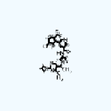 Cc1nc(N2CCC2)ncc1[C@H](C)n1cc(NC(=O)c2cncc(-c3c(C(F)F)ccc(Cl)c3F)n2)cn1